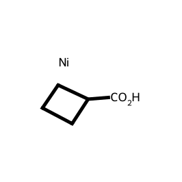 O=C(O)C1CCC1.[Ni]